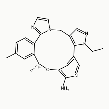 CCn1ncc2c1-c1cnc(N)c(c1)O[C@H](C)c1cc(C)ccc1-c1nccn1C2